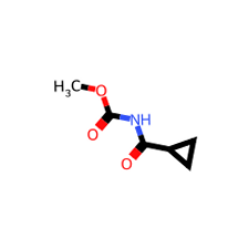 COC(=O)NC(=O)C1CC1